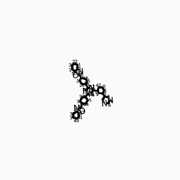 c1cc(-c2cncnc2)cc(-c2nc(-c3ccc(-c4nc5ccccc5o4)cc3)nc(-c3ccc(-c4nc5ccccc5o4)cc3)n2)c1